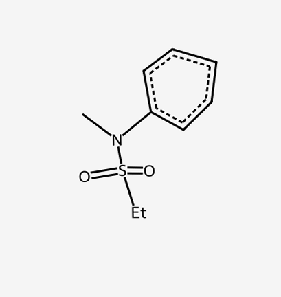 CCS(=O)(=O)N(C)c1ccccc1